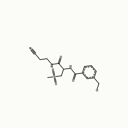 CS(=O)(=O)CC(NC(=O)c1cccc(CCl)c1)C(=O)NCCC#N